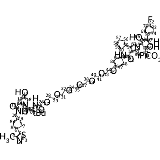 Cc1ncsc1-c1ccc(CNC(=O)[C@@H]2C[C@@H](O)CN2C(=O)[C@@H](NC(=O)COCCOCCOCCOCCOCCOCCOc2ccc(NC(=O)c3c(-c4ccccc4)cn(C([C@@H](O)C(C)c4ccc(F)cc4)[C@@H](O)CC(=O)O)c3C(C)C)cc2)C(C)(C)C)cc1